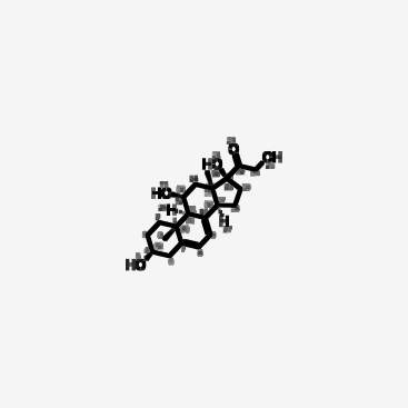 C[C@]12CC[C@H](O)CC1=CC=C1[C@@H]2[C@@H](O)C[C@@]2(C)[C@H]1CC[C@@]2(O)C(=O)CO